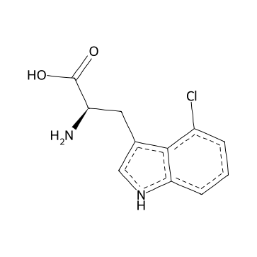 N[C@H](Cc1c[nH]c2cccc(Cl)c12)C(=O)O